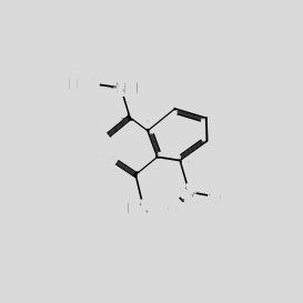 CNC(=O)c1cccc([N+](=O)[O-])c1C(N)=O